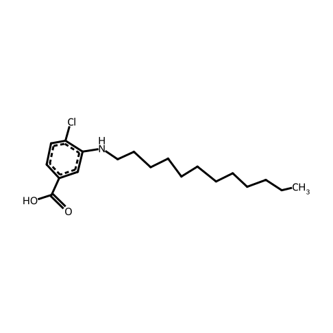 CCCCCCCCCCCCNc1cc(C(=O)O)ccc1Cl